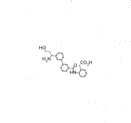 NC(CCO)c1cccc(-c2cccc(C(=O)Nc3ccccc3CC(=O)O)c2)c1